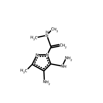 C=C(n1nc(C)c(N)c1NN)[SiH](C)C